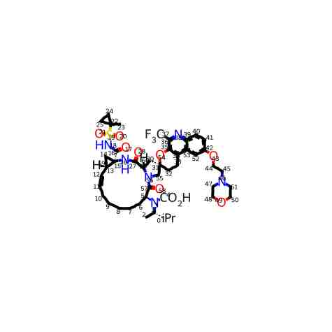 CC(C)[C@H](C)N(C(=O)O)[C@H]1CCCCC/C=C\[C@@H]2C[C@@]2(C(=O)NS(=O)(=O)C2(C)CC2)NC(=O)[C@@H]2C[C@]3(CCc4c(c(C(F)(F)F)nc5ccc(OCCN6CCOCC6)cc45)O3)CN2C1=O